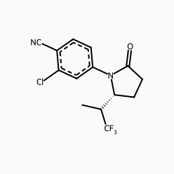 CC([C@H]1CCC(=O)N1c1ccc(C#N)c(Cl)c1)C(F)(F)F